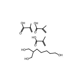 C=C(C)C(=O)O.C=C(C)C(=O)O.C=C(C)C(=O)O.OCCCCCC(CO)CO